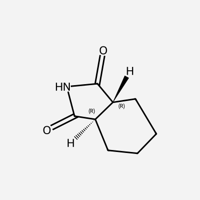 O=C1NC(=O)[C@@H]2CCCC[C@@H]12